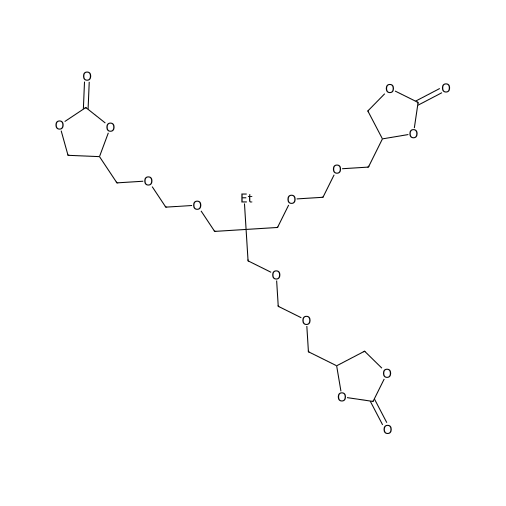 CCC(COCOCC1COC(=O)O1)(COCOCC1COC(=O)O1)COCOCC1COC(=O)O1